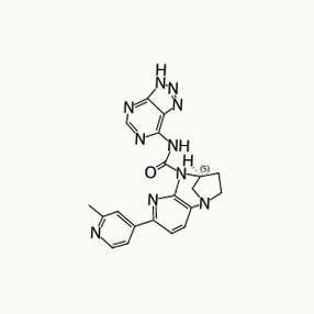 Cc1cc(-c2ccc3c(n2)N(C(=O)Nc2ncnc4[nH]nnc24)[C@H]2CCN3C2)ccn1